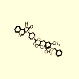 COC(=O)C(Cc1cc(C)c(OCc2ccccc2)c(C)c1)OC(=O)N1CCC(n2c(=O)[nH]c3c4ccccc4ncc32)CC1